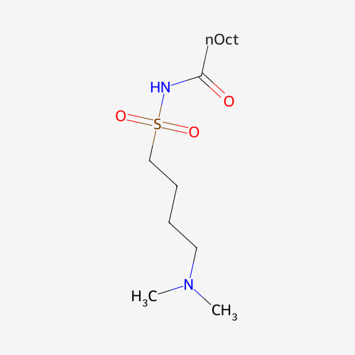 CCCCCCCCC(=O)NS(=O)(=O)CCCCN(C)C